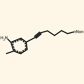 CCCCCCCCCCCCCC#Cc1ccc(C)c(N)c1